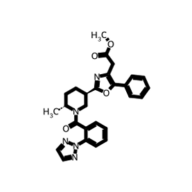 COC(=O)Cc1nc([C@@H]2CC[C@@H](C)N(C(=O)c3ccccc3-n3nccn3)C2)oc1-c1ccccc1